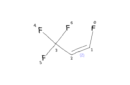 F/C=C\C(F)(F)F